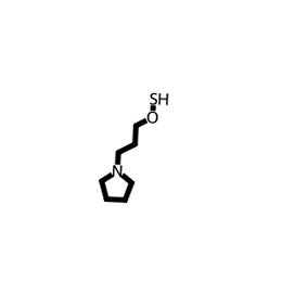 SOCCCN1CCCC1